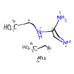 N=C(N)NCC(=O)O.O=[C](O)[Ru].[Ru]